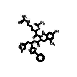 Cc1cc(O)cc(C)c1CC(NC(=O)C(CCCNC(=N)N)OC(N)=O)C(=O)NC(Cc1c[nH]cn1)c1nc(-c2ccccc2)no1